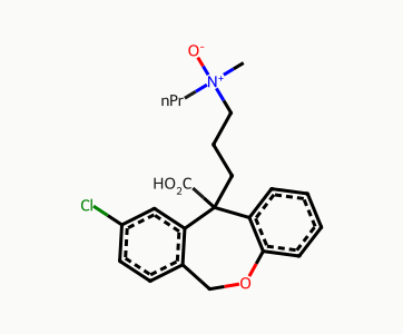 CCC[N+](C)([O-])CCCC1(C(=O)O)c2cc(Cl)ccc2COc2ccccc21